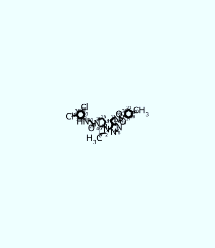 CCCN(c1ncnc2c1ccn2S(=O)(=O)c1ccc(C)cc1)[C@H]1CCCN(C(=O)CNc2cc(Cl)cc(Cl)c2)C1